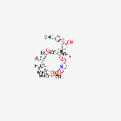 CCC1/C=C(\C)CC(C)CC(OC)C2OC(O)(C(=O)C(=O)N3CCCCC3C(=O)OC(C(C)=CC3CCC(O)C(Oc4ccc(C=O)cc4)C3)C(C)CCC1=O)C(C)CC2OC